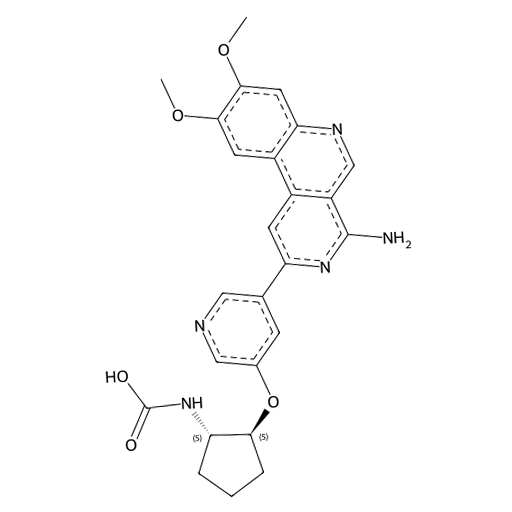 COc1cc2ncc3c(N)nc(-c4cncc(O[C@H]5CCC[C@@H]5NC(=O)O)c4)cc3c2cc1OC